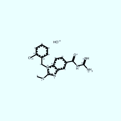 CSc1nc2cc(C(=O)NC(=N)N)ccc2n1Cc1ccccc1Cl.Cl